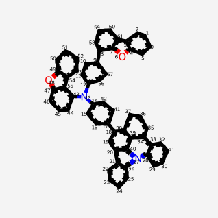 c1ccc2c(c1)oc1c(-c3ccc(N(c4ccc(-c5cc6c7ccccc7n7c8ccccc8c8cccc5c8c67)cc4)c4cccc5oc6ccccc6c45)cc3)cccc12